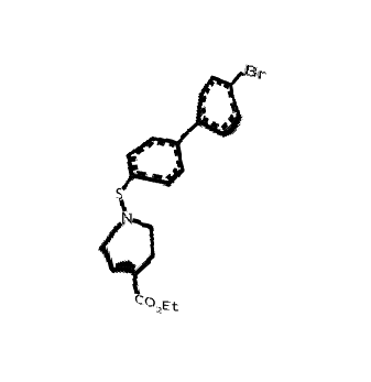 CCOC(=O)C1=CCN(Sc2ccc(-c3ccc(Br)cc3)cc2)CC1